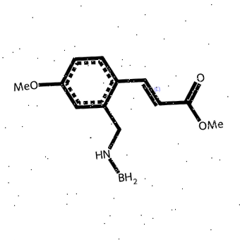 BNCc1cc(OC)ccc1/C=C/C(=O)OC